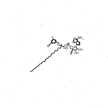 CCCCCCCCCCCCCCCCCCOCC(C)(COP(=O)(O)OC[C@@]1(C#N)O[C@@H](c2ccc3c(N)ncnn23)[C@H](O)[C@@H]1O)OCc1cc(F)cc(C#N)c1